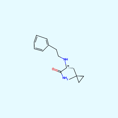 CC1(C[C@@H](NCCc2ccccc2)C(N)=O)CC1